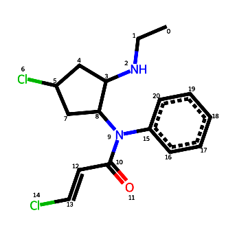 CCNC1CC(Cl)CC1N(C(=O)C=CCl)c1ccccc1